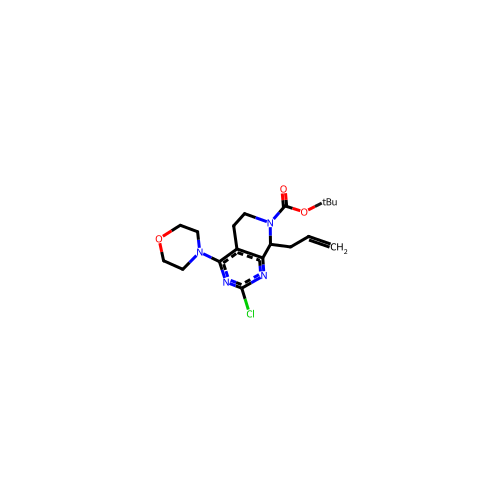 C=CCC1c2nc(Cl)nc(N3CCOCC3)c2CCN1C(=O)OC(C)(C)C